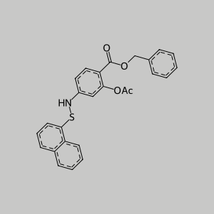 CC(=O)Oc1cc(NSc2cccc3ccccc23)ccc1C(=O)OCc1ccccc1